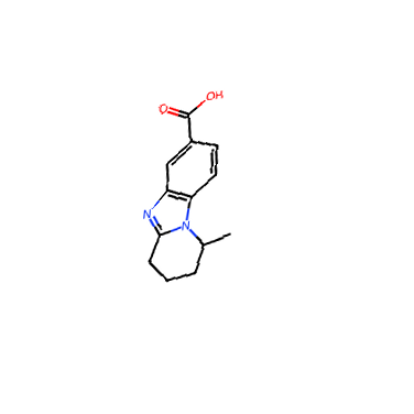 CC1CCCc2nc3cc(C(=O)O)ccc3n21